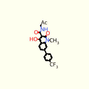 CC(=O)CNC(=O)c1c(O)c2ccc(-c3ccc(C(F)(F)F)cc3)cc2n(C)c1=O